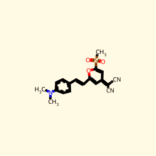 CN(C)c1ccc(C=CC2=CC(=C(C#N)C#N)C=C(S(C)(=O)=O)O2)cc1